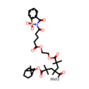 COC(=O)C(C)(CC(C)(C)C(=O)OCCOC(=O)CCCC(=O)N1C(=O)c2ccccc2S1(=O)=O)CC(C)(C)C(=O)OC1CC2CCC1C2(C)C